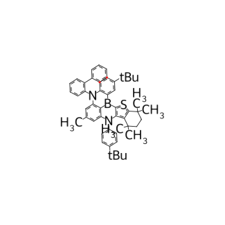 Cc1cc2c3c(c1)N(c1ccc(C(C)(C)C)cc1)c1c(sc4c1C(C)(C)CCC4(C)C)B3c1cc(C(C)(C)C)ccc1N2c1ccccc1-c1ccccc1